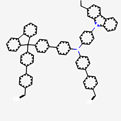 C=Cc1ccc(-c2ccc(N(c3ccc(-c4ccc(C5(c6ccc(-c7ccc(C=C)cc7)cc6)c6ccccc6-c6ccccc65)cc4)cc3)c3ccc(-n4c5ccccc5c5ccc(CC(C)C)cc54)cc3)cc2)cc1